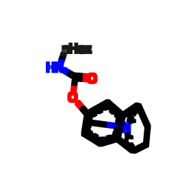 CCCCCCNC(=O)Oc1ccc2c(c1)C1CCC2CN(C)C1